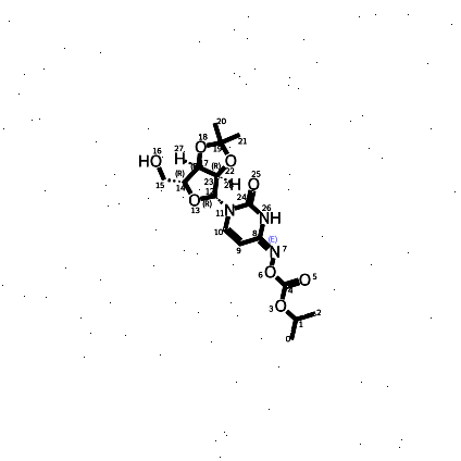 CC(C)OC(=O)O/N=c1\ccn([C@@H]2O[C@H](CO)[C@H]3OC(C)(C)O[C@H]32)c(=O)[nH]1